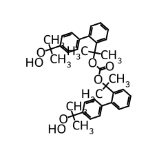 CC(C)(OO)c1ccc(-c2ccccc2C(C)(C)OC(=O)OC(C)(C)c2ccccc2-c2ccc(C(C)(C)OO)cc2)cc1